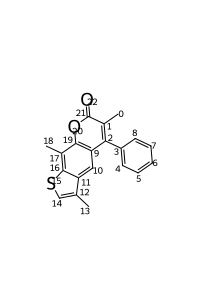 Cc1c(-c2ccccc2)c2cc3c(C)csc3c(C)c2oc1=O